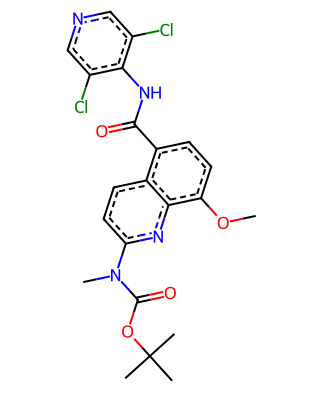 COc1ccc(C(=O)Nc2c(Cl)cncc2Cl)c2ccc(N(C)C(=O)OC(C)(C)C)nc12